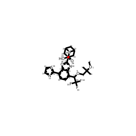 COC(C)(C)COC(c1ccc(-c2nccs2)c2oc(N3CC4CC(C3)N4C(=O)O)nc12)C(F)(F)F